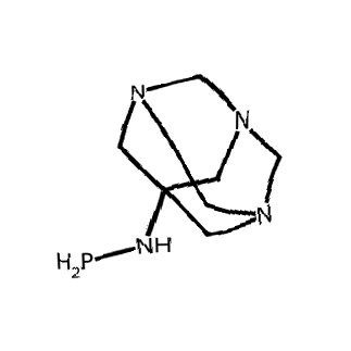 PNC12CN3CN(CN(C3)C1)C2